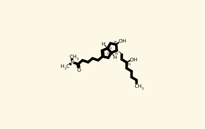 CCCCC[C@H](O)CC[C@@H]1[C@H]2CC(CCCCC(=O)N(C)C)=C[C@H]2C[C@H]1O